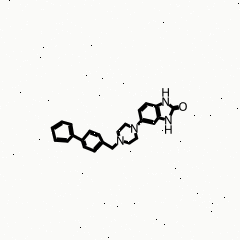 O=c1[nH]c2ccc(N3CCN(Cc4ccc(-c5ccccc5)cc4)CC3)cc2[nH]1